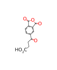 O=C(O)CCC(=O)c1ccc2c(c1)C(=O)OC2=O